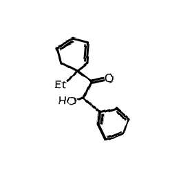 CCC1(C(=O)C(O)c2ccccc2)C=CC=CC1